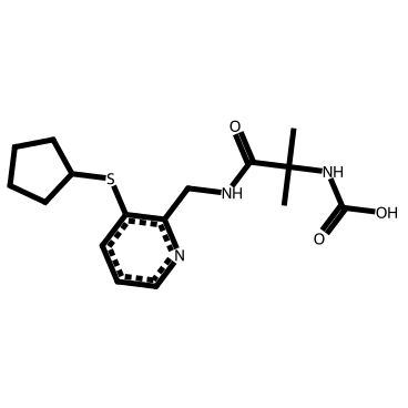 CC(C)(NC(=O)O)C(=O)NCc1ncccc1SC1CCCC1